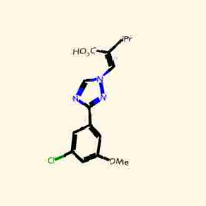 COc1cc(Cl)cc(-c2ncn(/C=C(\C(=O)O)C(C)C)n2)c1